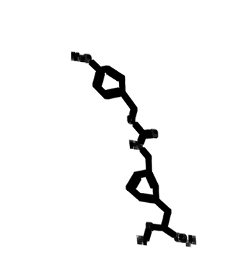 COc1ccc(COC(=O)NCc2cccc(CC(OC(C)C)C(=O)O)c2)cc1